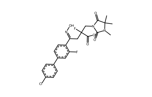 CN1C(=O)N(CC(F)(CC(=NO)c2ccc(-c3ccc(Cl)cc3)cc2F)C(=O)O)C(=O)C1(C)C